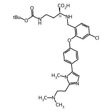 CN(C)CCc1ncc(-c2ccc(Oc3cc(Cl)ccc3CN[C@@H](CCNC(=O)OC(C)(C)C)C(=O)O)cc2)n1C